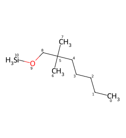 CCCCCC(C)(C)CO[SiH3]